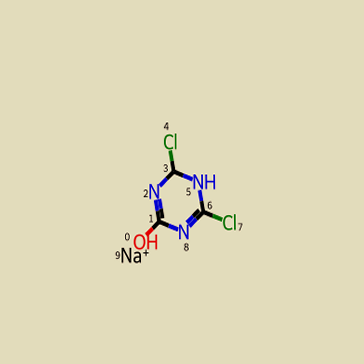 OC1=NC(Cl)NC(Cl)=N1.[Na+]